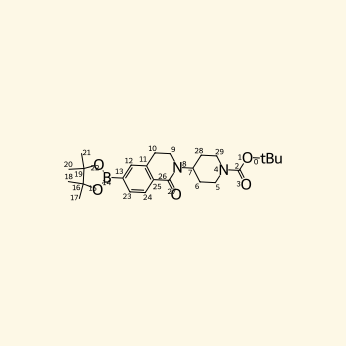 CC(C)(C)OC(=O)N1CCC(N2CCc3cc(B4OC(C)(C)C(C)(C)O4)ccc3C2=O)CC1